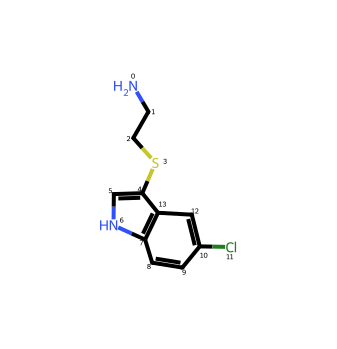 NCCSc1c[nH]c2ccc(Cl)cc12